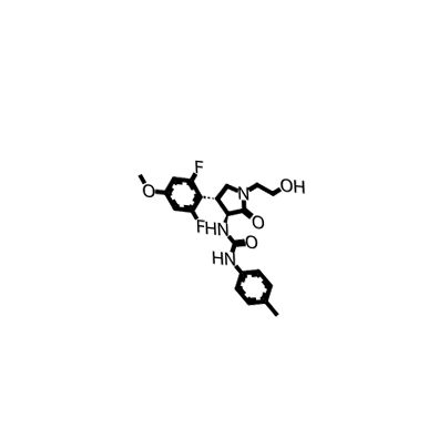 COc1cc(F)c([C@@H]2CN(CCO)C(=O)[C@H]2NC(=O)Nc2ccc(C)cc2)c(F)c1